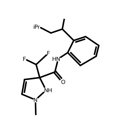 CC(C)CC(C)c1ccccc1NC(=O)C1(C(F)F)C=CN(C)N1